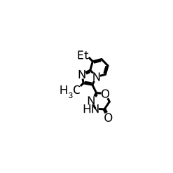 CCc1cccn2c(C3=NNC(=O)CO3)c(C)nc12